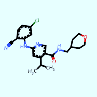 CC(C)c1cc(Nc2cc(Cl)ccc2C#N)ncc1C(=O)NCC1CCOCC1